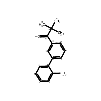 Cc1ccccc1-c1cccc(C(=O)C(C)(C)C)c1